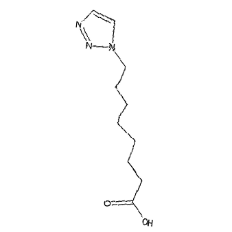 O=C(O)CCCCCCCn1ccnn1